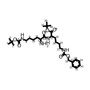 CC(C)(C)OC(=O)NCCCCC(N)C(=O)NC(CCCCNC(=O)OCc1ccccc1)C(=O)OC(C)(C)C